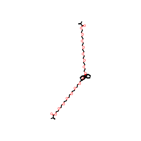 C=C(C)C(=O)OCCOCCOCCOCCOCCOCCOCCOC1=CC2=CC=C1C2C1(C)C2=CC=C1C(OCCOCCOCCOCCOCCOCCOCCOC(=O)C(=C)C)=C2